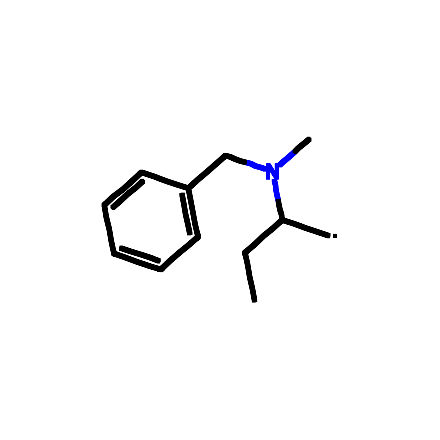 [CH2]C(CC)N(C)Cc1ccccc1